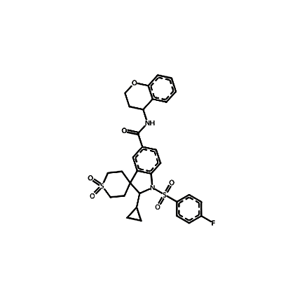 O=C(NC1CCOc2ccccc21)c1ccc2c(c1)C1(CCS(=O)(=O)CC1)C(C1CC1)N2S(=O)(=O)c1ccc(F)cc1